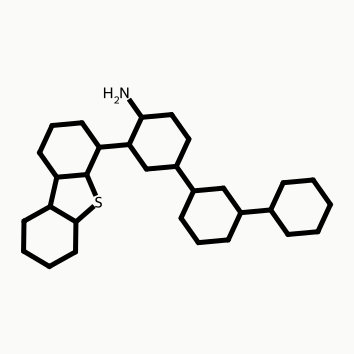 NC1CCC(C2CCCC(C3CCCCC3)C2)CC1C1CCCC2C3CCCCC3SC12